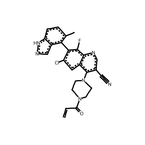 C=CC(=O)N1CCN(c2c(C#N)cnc3c(F)c(-c4c(C)ccc5[nH]ncc45)c(Cl)cc23)CC1